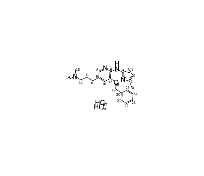 Cc1csc(Nc2ncc(CCCN(C)C)cc2OCc2ccccc2)n1.Cl.Cl